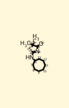 CC1(C)SC(NC2CCCCCCC2)=NC1=O